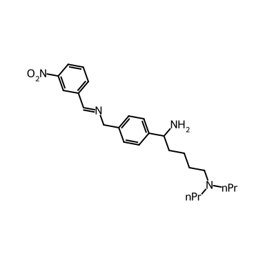 CCCN(CCC)CCCCC(N)c1ccc(CN=Cc2cccc([N+](=O)[O-])c2)cc1